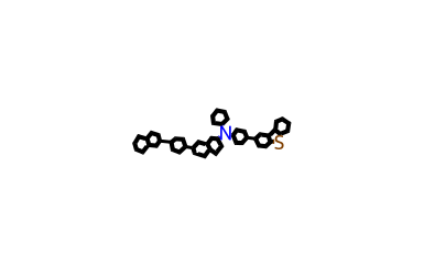 c1ccc(N(c2ccc(-c3ccc4sc5ccccc5c4c3)cc2)c2ccc3ccc(-c4ccc(-c5ccc6ccccc6c5)cc4)cc3c2)cc1